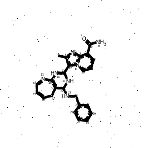 Cc1nc2c(C(N)=O)cccn2c1C1NC2=C(CC=CC=N2)C(NCc2ccccc2)N1